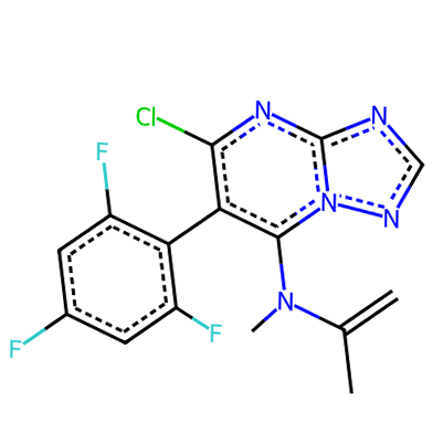 C=C(C)N(C)c1c(-c2c(F)cc(F)cc2F)c(Cl)nc2ncnn12